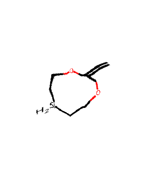 C=C1OCC[SiH2]CCO1